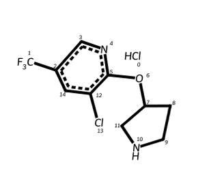 Cl.FC(F)(F)c1cnc(OC2CCNC2)c(Cl)c1